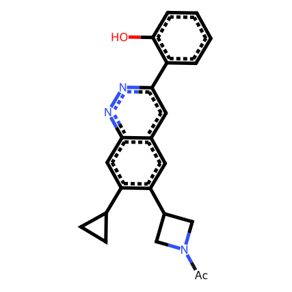 CC(=O)N1CC(c2cc3cc(-c4ccccc4O)nnc3cc2C2CC2)C1